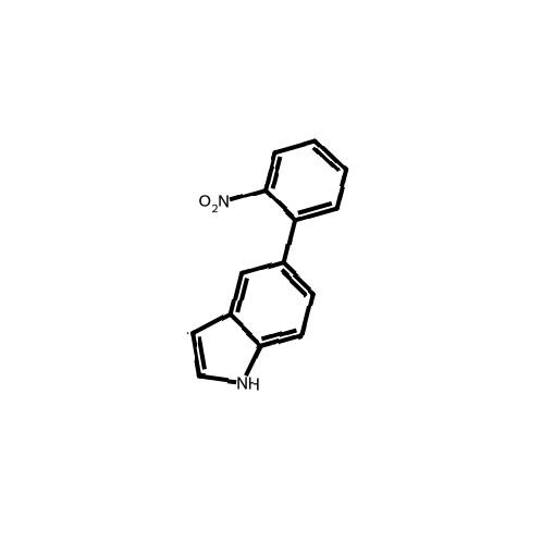 O=[N+]([O-])c1ccccc1-c1ccc2[nH]c[c]c2c1